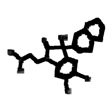 CCN(CC)CCN1C(=O)C(O)(c2ccc3ccccc3c2)c2cc(Br)c(Cl)cc21